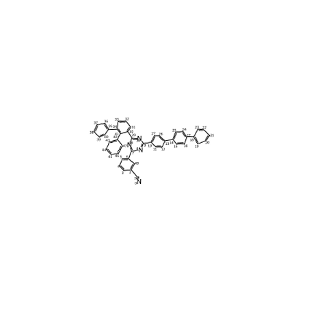 N#Cc1cccc(-c2nc(-c3ccc(-c4ccc(-c5ccccc5)cc4)cc3)nc(-c3cccc(-c4ccccc4)c3-c3ccccc3)n2)c1